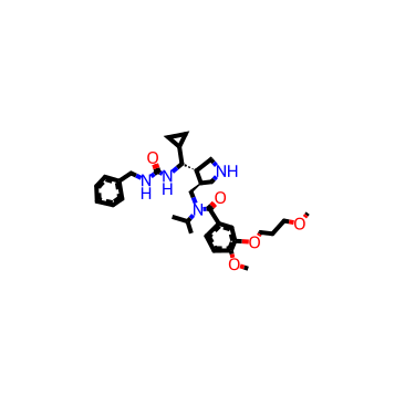 COCCCOc1cc(C(=O)N(C[C@@H]2CNC[C@H]2C(NC(=O)NCc2ccccc2)C2CC2)C(C)C)ccc1OC